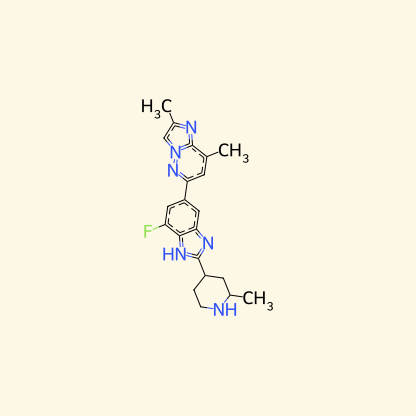 Cc1cn2nc(-c3cc(F)c4[nH]c(C5CCNC(C)C5)nc4c3)cc(C)c2n1